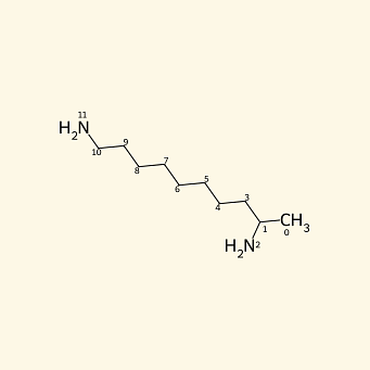 CC(N)CCCCCCCCN